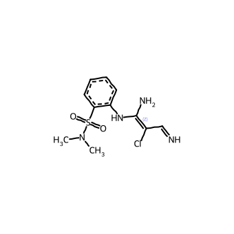 CN(C)S(=O)(=O)c1ccccc1N/C(N)=C(\Cl)C=N